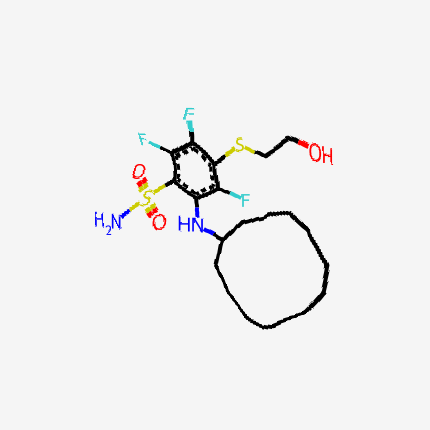 NS(=O)(=O)c1c(F)c(F)c(SCCO)c(F)c1NC1CCCCCCCCCCC1